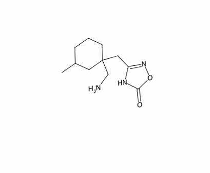 CC1CCCC(CN)(Cc2noc(=O)[nH]2)C1